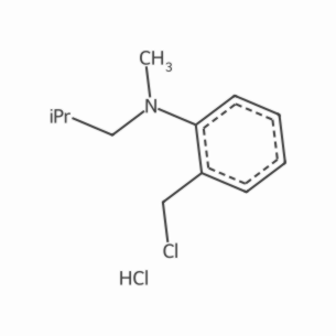 CC(C)CN(C)c1ccccc1CCl.Cl